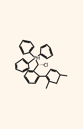 CC1=C(c2ccccc2[C@@H](Cl)[PH](c2ccccc2)(c2ccccc2)c2ccccc2)C=CC(C)C1